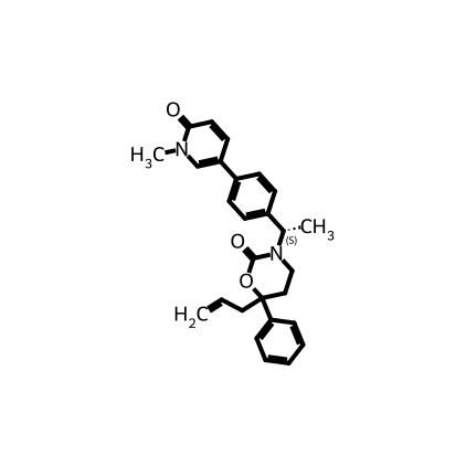 C=CCC1(c2ccccc2)CCN([C@@H](C)c2ccc(-c3ccc(=O)n(C)c3)cc2)C(=O)O1